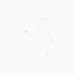 CCOC(=O)c1cc(C)nn1CC(=O)O